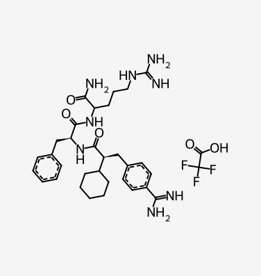 N=C(N)NCCCC(NC(=O)[C@H](Cc1ccccc1)NC(=O)[C@@H](Cc1ccc(C(=N)N)cc1)C1CCCCC1)C(N)=O.O=C(O)C(F)(F)F